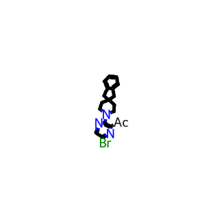 CC(=O)c1nc(Br)cnc1N1CCC2(CC1)Cc1ccccc1C2